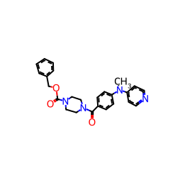 CN(c1ccncc1)c1ccc(C(=O)N2CCN(C(=O)OCc3ccccc3)CC2)cc1